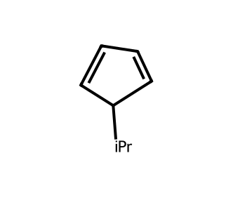 CC(C)C1C=CC=C1